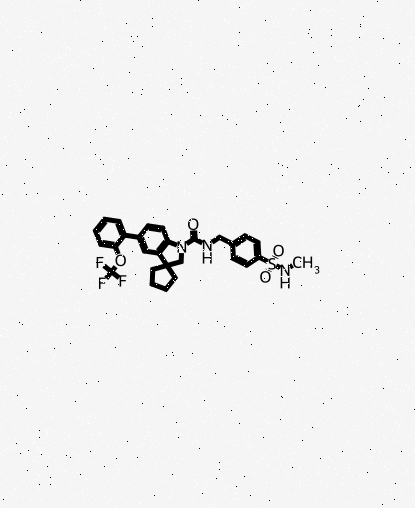 CNS(=O)(=O)c1ccc(CNC(=O)N2CC3(CCCC3)c3cc(-c4ccccc4OC(F)(F)F)ccc32)cc1